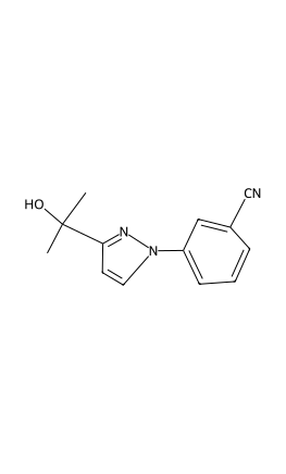 CC(C)(O)c1ccn(-c2cccc(C#N)c2)n1